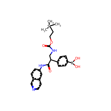 C[Si](C)(C)CCOC(=O)NCC(C(=O)Nc1ccc2cnccc2c1)c1ccc(B(O)O)cc1